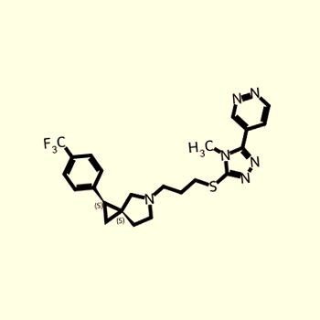 Cn1c(SCCCN2CC[C@]3(C[C@H]3c3ccc(C(F)(F)F)cc3)C2)nnc1-c1ccnnc1